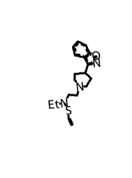 C=CSN(CC)CCN1CCC(c2noc3ccccc23)CC1